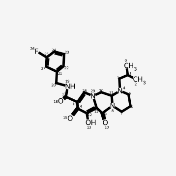 CC(C)CN1CCCN2C(=O)c3c(O)c(=O)c(C(=O)NCc4cccc(F)c4)cn3CC12